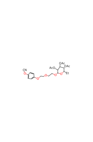 CCC1OC(OCCOCCOc2ccc(OC#N)cc2)C(OC(C)=O)C(OC(C)=O)C1OC(C)=O